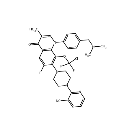 CN(C)Cc1ccc(-n2cc(C(=O)O)c(=O)c3cc(F)c(N4CCN(c5ncccc5C#N)CC4)c(OC(F)(F)Cl)c32)cc1